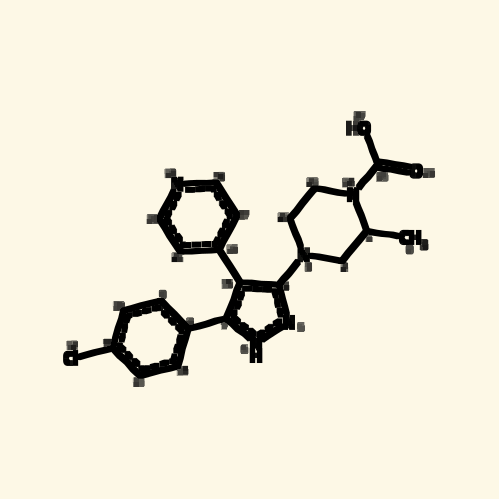 CC1CN(c2n[nH]c(-c3ccc(Cl)cc3)c2-c2ccncc2)CCN1C(=O)O